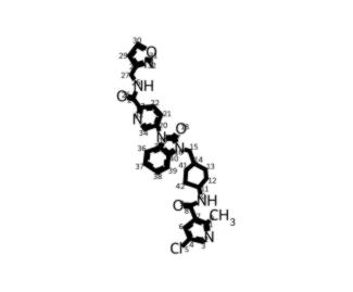 Cc1ncc(Cl)cc1C(=O)NC1CCC(Cn2c(=O)n(-c3ccc(C(=O)NCc4ccon4)nc3)c3ccccc32)CC1